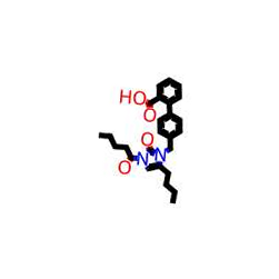 CCCCC(=O)n1cc(CCCC)n(Cc2ccc(-c3ccccc3C(=O)O)cc2)c1=O